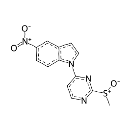 C[S+]([O-])c1nccc(-n2ccc3cc([N+](=O)[O-])ccc32)n1